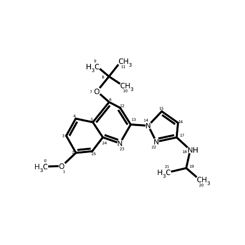 COc1ccc2c(OC(C)(C)C)cc(-n3ccc(NC(C)C)n3)nc2c1